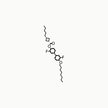 CCCCCCCCOc1ccc(-c2ccc(OC(=O)[C@H]3C[C@H](CCCCC)C3)c(F)c2)cc1F